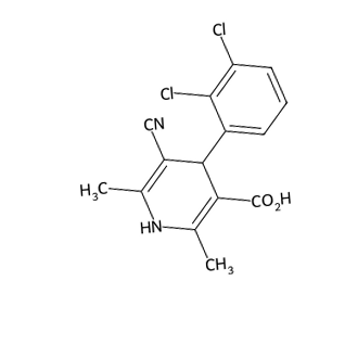 CC1=C(C#N)C(c2cccc(Cl)c2Cl)C(C(=O)O)=C(C)N1